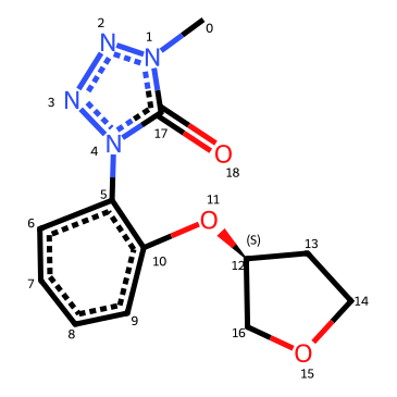 Cn1nnn(-c2ccccc2O[C@H]2CCOC2)c1=O